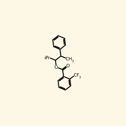 CC(C)C(OC(=O)c1ccccc1C(F)(F)F)C(C)c1ccccc1